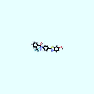 COc1ccc2nc(-c3ccc(NC(=O)c4ccccc4C(F)(F)F)cc3)sc2c1